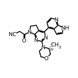 C[C@@H]1COCCN1c1nc(-c2ccnc3[nH]ccc23)c2c(n1)N(C(=O)CC#N)CC2